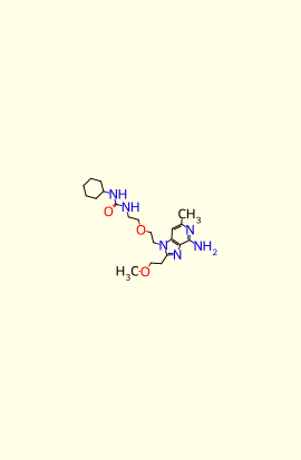 COCCc1nc2c(N)nc(C)cc2n1CCOCCNC(=O)NC1CCCCC1